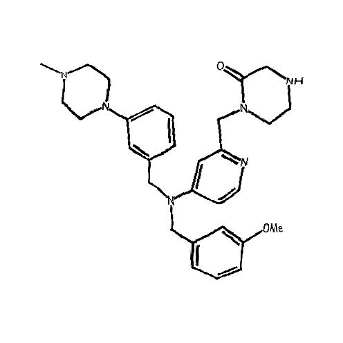 COc1cccc(CN(Cc2cccc(N3CCN(C)CC3)c2)c2ccnc(CN3CCNCC3=O)c2)c1